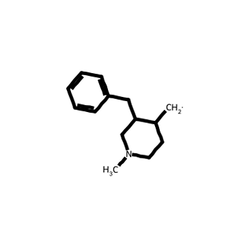 [CH2]C1CCN(C)CC1Cc1ccccc1